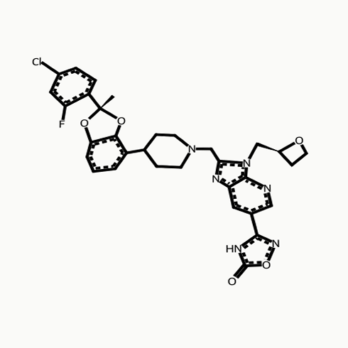 C[C@]1(c2ccc(Cl)cc2F)Oc2cccc(C3CCN(Cc4nc5cc(-c6noc(=O)[nH]6)cnc5n4C[C@@H]4CCO4)CC3)c2O1